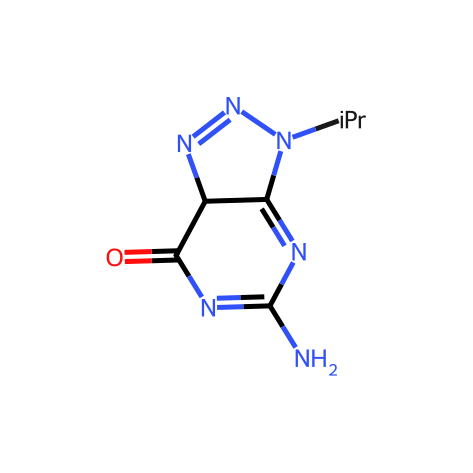 CC(C)N1N=NC2C(=O)N=C(N)N=C21